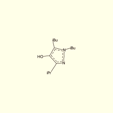 CCC(C)c1c(O)c(C(C)C)nn1C(C)CC